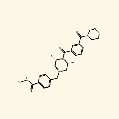 C[C@@H]1CN(Cc2ccc(C(=O)NO)cc2)C[C@H](C)N1C(=O)c1cccc(C(=O)N2CCOCC2)c1